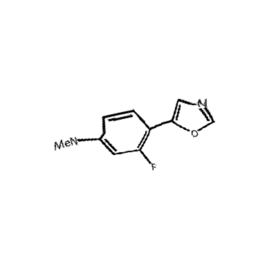 CNc1ccc(-c2cnco2)c(F)c1